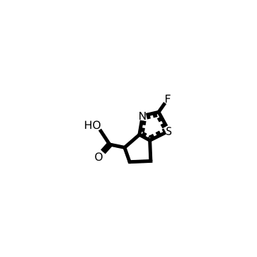 O=C(O)C1CCc2sc(F)nc21